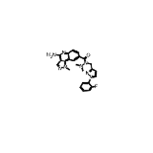 CN(C)N(Cc1ccn(-c2ccccc2F)n1)C(=O)c1ccc2nc(N)c3cnn(C)c3c2c1